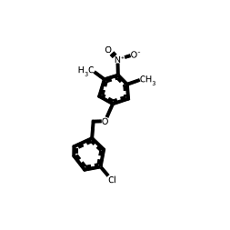 Cc1cc(OCc2cccc(Cl)c2)cc(C)c1[N+](=O)[O-]